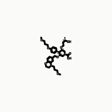 COCCCOc1ccc([C@@H]2[C@@H](OCc3ccc4c(c3)N(CCCOC)CCO4)CN(C(=O)O)C[C@H]2OCC[C@H](C)O)cc1